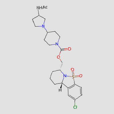 CC(=O)NC1CCN(C2CCN(C(=O)OC[C@H]3CCC[C@H]4c5cc(Cl)ccc5S(=O)(=O)N34)CC2)C1